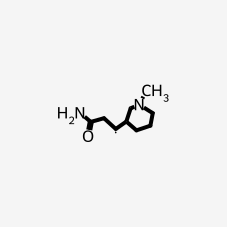 CN1CCCC([CH]CC(N)=O)C1